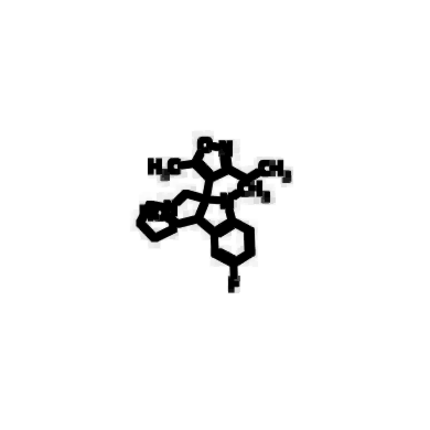 CCc1noc(C)c1C1(CN2CCCC2)C(CO)c2cc(F)ccc2N1C